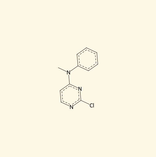 CN(c1ccccc1)c1ccnc(Cl)n1